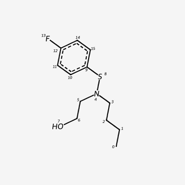 CCCCN(CCO)Sc1ccc(F)cc1